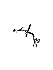 CC(C)O[Si](C)(C)[CH2][Mg][Cl]